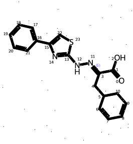 O=C(O)/C(CC1C=CC=CC1)=N/Nc1nc(-c2ccccc2)cs1